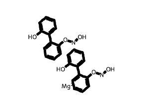 O[N-]Oc1ccccc1-c1ccccc1O.O[N-]Oc1ccccc1-c1ccccc1O.[Mg+2]